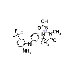 CN1C(=O)C[C@@](C)(c2cccc(Nc3cc(C(F)(F)F)ccc3N)c2)N/C1=N\C(=O)O